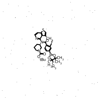 Cc1csc2ccnc(N(C(=O)c3ccc(B4OC(C)(C)C(C)(C)O4)cc3F)[C@@H]3CCCN(C(=O)OC(C)(C)C)C3)c12